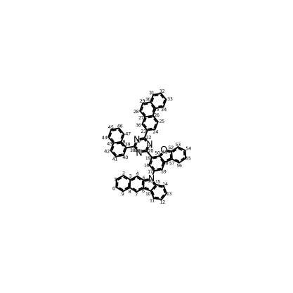 c1ccc2cc3c(cc2c1)c1ccccc1n3-c1cc(-c2nc(-c3ccc4c(ccc5ccccc54)c3)nc(-c3cccc4ccccc34)n2)c2oc3ccccc3c2c1